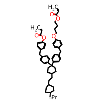 C=CC(=O)OCCCCOc1ccc(Cc2ccc(C3(c4ccc(Cc5ccc(OC(=O)C=C)cc5)cc4)CCC(CCC4CCC(CCC)CC4)CC3)cc2)cc1